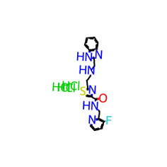 Cl.Cl.Cl.O=C(NCc1ncccc1F)c1csc(CCNCc2nc3ccccc3[nH]2)n1